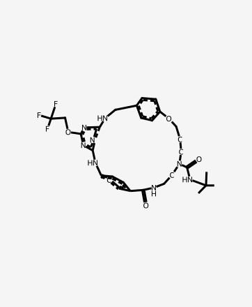 CC(C)(C)NC(=O)N1CCCOc2ccc(cc2)CNc2nc(nc(OCC(F)(F)F)n2)Nc2ccc(cc2)C(=O)NCC1